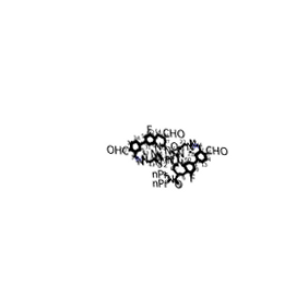 CCCN(CCC)C(=O)C1=Cc2c(F)cc(-c3ccc(C=O)c(/C=N\N(C)Cc4nnc(NC5=Nc6cc(-c7ccc(C=O)c(/C=N\N(C)Cc8nccs8)c7)cc(F)c6C=C(C=O)C5)o4)c3)cc2N=C(N)C1